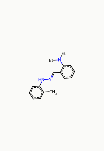 CCN(CC)c1ccccc1C=NNc1ccccc1C